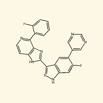 Fc1cc2[nH]nc(-c3nc4c(-c5ccccc5F)nccc4[nH]3)c2cc1-c1cncnc1